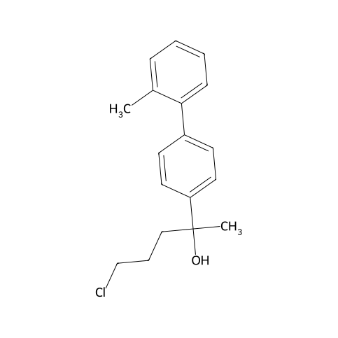 Cc1ccccc1-c1ccc(C(C)(O)CCCCl)cc1